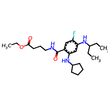 CCOC(=O)CCCNC(=O)c1cc(F)c(NC(CC)CC)cc1NC1CCCC1